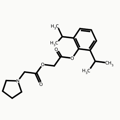 CC(C)c1cccc(C(C)C)c1OC(=O)COC(=O)CN1CCCC1